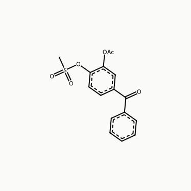 CC(=O)Oc1cc(C(=O)c2ccccc2)ccc1OS(C)(=O)=O